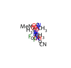 CNCC(=O)OCc1cccnc1N(C)C(=O)OC(C)N1C=NN(C[C@](O)(c2cc(F)ccc2F)[C@@H](C)c2nc(-c3ccc(C#N)cc3)cs2)C1